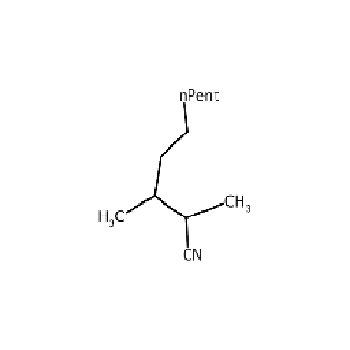 CCCCCCCC(C)C(C)C#N